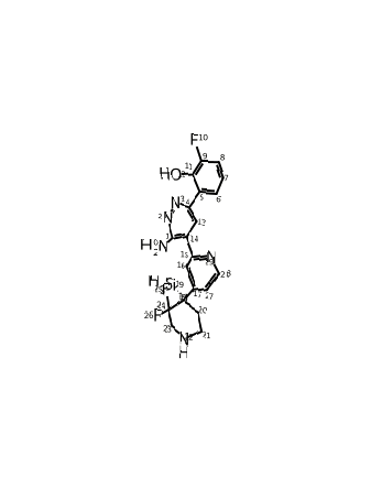 Nc1nnc(-c2cccc(F)c2O)cc1-c1cc([C@@]2([SiH3])CCNCC2(F)F)ccn1